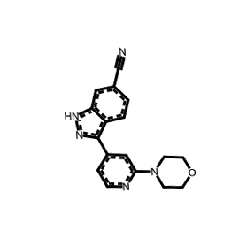 N#Cc1ccc2c(-c3ccnc(N4CCOCC4)c3)n[nH]c2c1